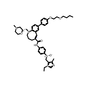 CCCCOCCOc1ccc(-c2ccc3c(c2)/C=C(/C(=O)Nc2ccc([S@+]([O-])Cc4c(C)ncn4CC)cc2)CCCN3C[C@H]2CN(C)CCO2)cc1